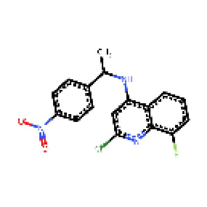 CC(Nc1cc(Cl)nc2c(F)cccc12)c1ccc([N+](=O)[O-])cc1